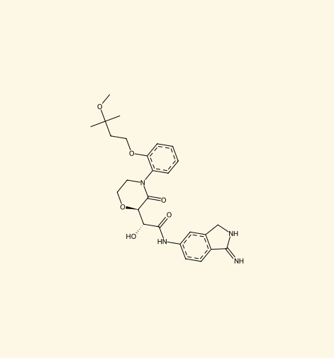 COC(C)(C)CCOc1ccccc1N1CCO[C@H]([C@@H](O)C(=O)Nc2ccc3c(c2)CNC3=N)C1=O